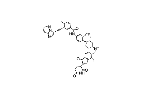 Cc1ccc(C(=O)Nc2ccc(N3CCC(N(C)Cc4ccc5c(c4F)CN(C4CCC(=O)NC4=O)C5=O)CC3)c(C(F)(F)F)c2)cc1C#Cc1cnc2cccnn12